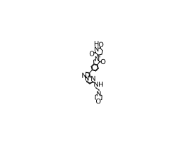 O=C1CC[C@H](N2Cc3cc(-c4cnn5ccc(NCCN6CCOCC6)nc45)ccc3C2=O)C(=O)N1